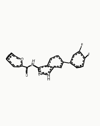 O=C(Nc1n[nH]c2cc(-c3ccc(F)c(F)c3)ccc12)c1ccco1